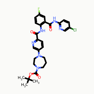 CC(C)(C)OC(=O)N1CCCN(c2ccc(C(=O)Nc3ccc(F)cc3C(=O)Nc3ccc(Cl)cn3)nc2)CC1